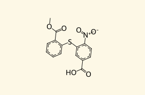 COC(=O)c1ccccc1Sc1cc(C(=O)O)ccc1[N+](=O)[O-]